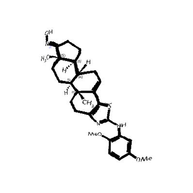 COc1ccc(OC)c(Nc2nc3c(s2)C2=CC[C@@H]4[C@H](CC[C@]5(C)/C(=N/O)CC[C@@H]45)[C@@]2(C)CC3)c1